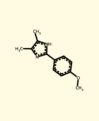 COc1ccc(-c2nc(C)c(C)[nH]2)cc1